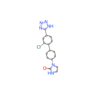 O=c1[nH]ccn1-c1ccc(-c2ccc(-c3nnn[nH]3)cc2Cl)cc1